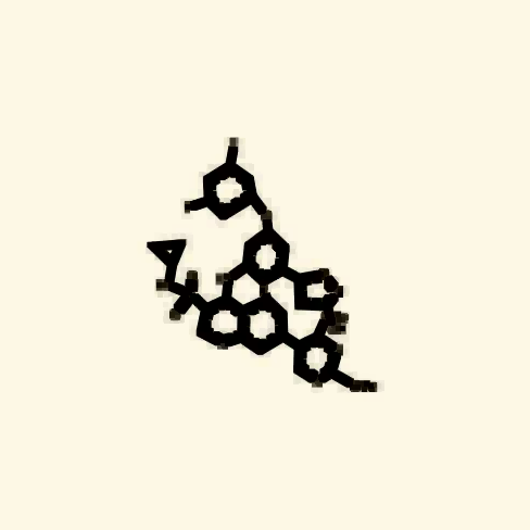 COc1ncc(-c2cc(F)c3c(Nc4cc(Oc5cc(F)cc(F)c5)cc(-c5cc(O)no5)c4)c(S(=O)(=O)NC4CC4)cnc3c2)c(OC)n1